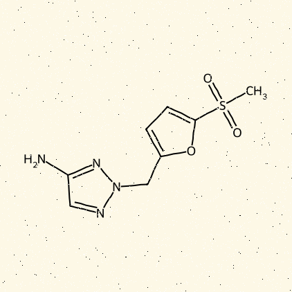 CS(=O)(=O)c1ccc(Cn2ncc(N)n2)o1